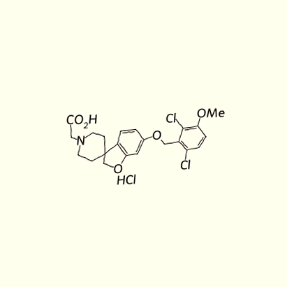 COc1ccc(Cl)c(COc2ccc3c(c2)OCC32CCN(CC(=O)O)CC2)c1Cl.Cl